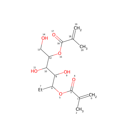 C=C(C)C(=O)OC(CC)C(O)C(O)C(CO)OC(=O)C(=C)C